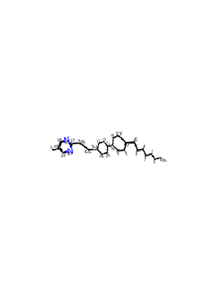 CCCCCCCC1CCC(C2CCC(CCc3ncc(C)cn3)CC2)CC1